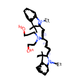 CCN1/C(=C/C=C/C(=C/C2=[N+](CC)c3ccccc3C2(C)C)N(CCO)CCO)C(C)(C)c2ccccc21